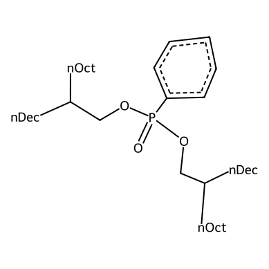 CCCCCCCCCCC(CCCCCCCC)COP(=O)(OCC(CCCCCCCC)CCCCCCCCCC)c1ccccc1